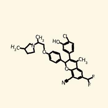 CC1=C(c2ccc(Cl)c(O)c2)C(c2ccc(OCC(C)N3CCC(C)C3)cc2)Oc2c(C#N)cc(C(F)F)cc21